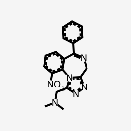 CN(C)Cc1nnc2n1-c1c(cccc1[N+](=O)[O-])C(c1ccccc1)=NC2